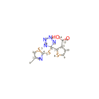 Cc1csc(SC2(c3sccc3C(=O)O)N=NN=N2)n1